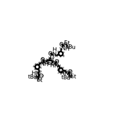 CCN(C(=O)NCC1CCCC(CNC(=O)OCC(CC)(COC(=O)NCC2CCCC(CNC(=O)N(CC)C(C)(C)C)C2)COC(=O)NCC2CCCC(CNC(=O)N(CC)C(C)(C)C)C2)C1)C(C)(C)C